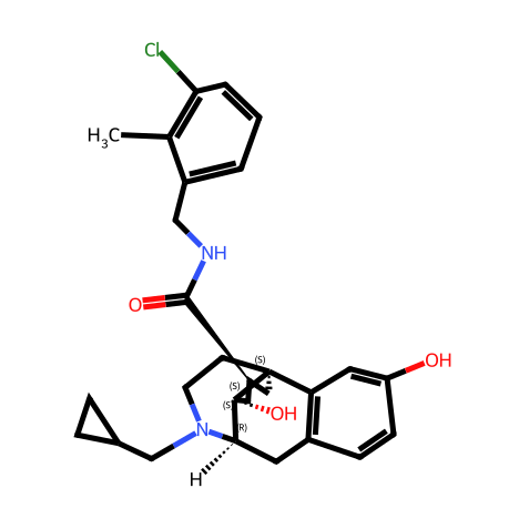 Cc1c(Cl)cccc1CNC(=O)[C@H]1C[C@]23CCN(CC4CC4)[C@H](Cc4ccc(O)cc42)[C@]3(O)C1